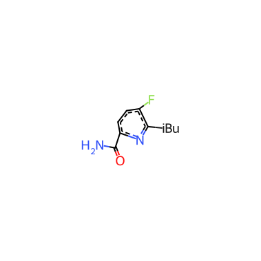 CCC(C)c1nc(C(N)=O)ccc1F